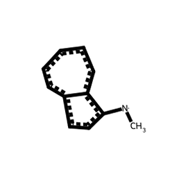 C[N]c1ccc2cccccc1-2